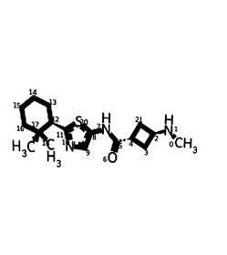 CN[C@H]1C[C@H](C(=O)Nc2cnc([C@@H]3CCCCC3(C)C)s2)C1